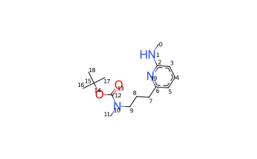 CNc1cccc(CCCN(C)C(=O)OC(C)(C)C)n1